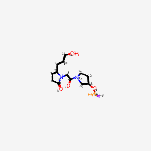 O=C(CN1C(=O)CCC1CCCO)N1CCC(OPI)C1